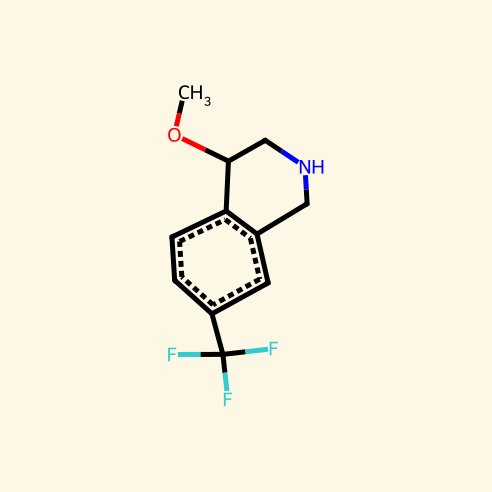 COC1CNCc2cc(C(F)(F)F)ccc21